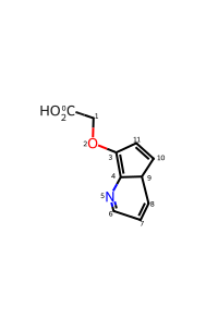 O=C(O)COC1=C2N=CC=CC2C=C1